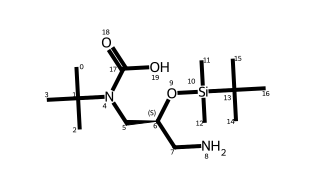 CC(C)(C)N(C[C@H](CN)O[Si](C)(C)C(C)(C)C)C(=O)O